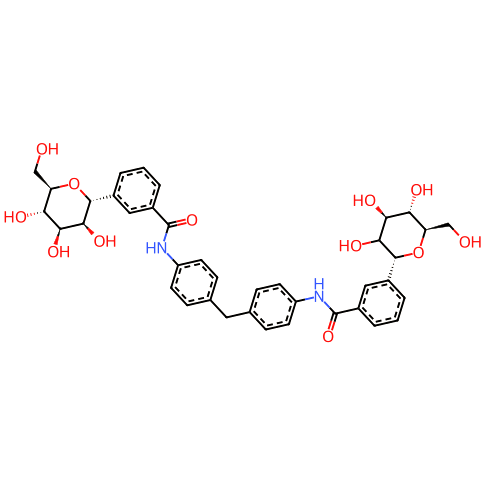 O=C(Nc1ccc(Cc2ccc(NC(=O)c3cccc([C@H]4O[C@H](CO)[C@@H](O)[C@H](O)[C@@H]4O)c3)cc2)cc1)c1cccc([C@H]2O[C@H](CO)[C@@H](O)[C@H](O)C2O)c1